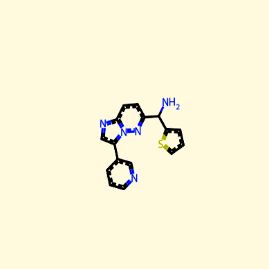 NC(c1ccc2ncc(-c3cccnc3)n2n1)c1cccs1